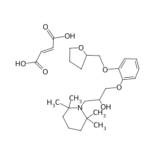 CC1(C)CCCC(C)(C)N1CC(O)COc1ccccc1OCC1CCCO1.O=C(O)/C=C/C(=O)O